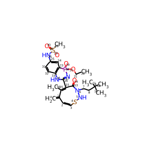 C=C1/C=C\SNN(CCC(C)(C)C)C(=O)/C(C2=NP(=O)(OCC)c3cc(NS(C)(=O)=O)ccc3N2)=C\1C